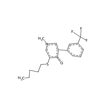 CCCCCSc1cn(C)cc(-c2cccc(C(F)(F)F)c2)c1=O